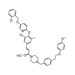 COc1ccc(OCCc2ccc(CN3CCN(C(=O)/C=C/c4cc(C)c(Oc5ccc(OCc6ccccc6Cl)cn5)c(Cl)c4)CC3)cc2)cc1.Cl